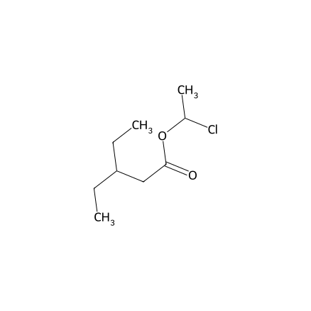 CCC(CC)CC(=O)OC(C)Cl